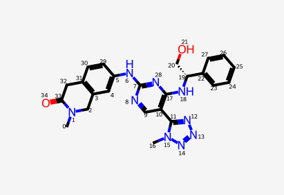 CN1Cc2cc(Nc3ncc(-c4nnnn4C)c(N[C@H](CO)c4ccccc4)n3)ccc2CC1=O